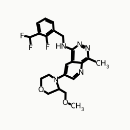 COCC1COCCN1c1cnc2c(C)nnc(NCc3cccc(C(F)F)c3F)c2c1